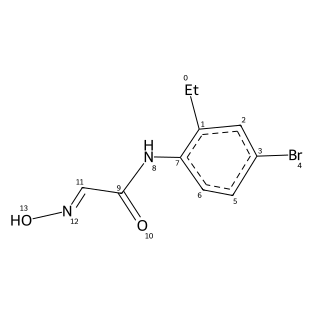 CCc1cc(Br)ccc1NC(=O)/C=N/O